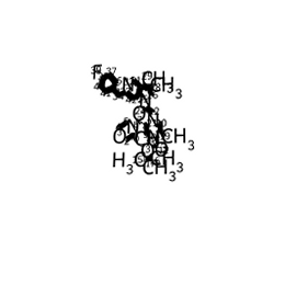 CC1COCCN1C[C@H]1CN(C(=O)OC(C)(C)C)[C@H](C)CN1CC(=O)N1CC(C)(C)c2cnc(Cc3ccc(F)cc3)cc21